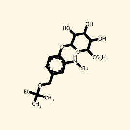 CCC(C)(C)OCc1ccc(OC2OC(C(=O)O)C(O)C(O)C2O)c(NC(C)(C)C)c1